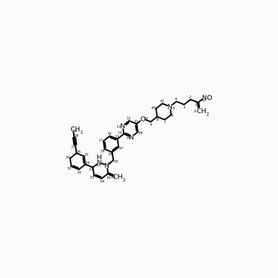 C=C(CCCN1CCC(COc2cnc(-c3cccc(CN4NC(C5=CC(C#CC)CC=C5)C=CC4=C)c3)nc2)CC1)N=O